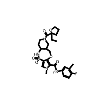 CCC1(C(=O)N2CCC3NS(=O)(=O)c4cn(C)c(C(=O)Nc5ccc(F)c(C)c5)c4OCC3C2)CCCO1